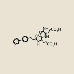 NC(=O)[C@H](CCC(=O)O)NC(=O)[C@H](CCC(=O)O)NC(=O)CCc1ccc(-c2ccccc2)cc1